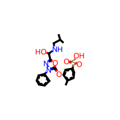 CC(C)CNC(O)c1nn(-c2ccccc2)c(=O)o1.Cc1ccc(S(=O)(=O)O)cc1